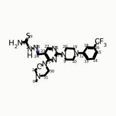 CN1CCN(c2nc(N3CCN(c4cccc(C(F)(F)F)c4)CC3)ncc2/C=N/NC(N)=S)CC1